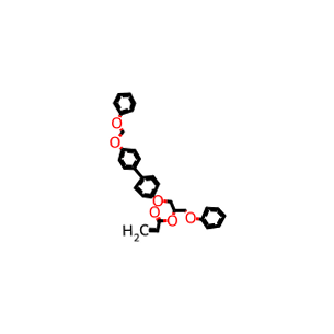 C=CC(=O)OC(COc1ccccc1)COc1ccc(-c2ccc(OCOc3ccccc3)cc2)cc1